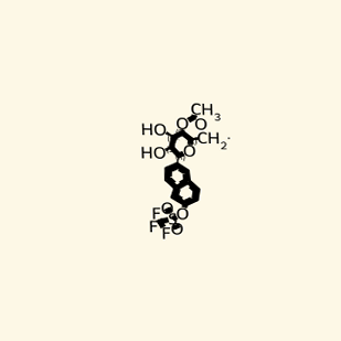 [CH2][C@H]1O[C@H](c2ccc3cc(OS(=O)(=O)C(F)(F)F)ccc3c2)[C@@H](O)[C@@H](O)[C@@H]1OC(C)=O